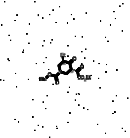 CCOC(=O)C(=O)[C@@H]1CN(C(=O)OC(C)(C)C)C[C@@H](CC)C1=O